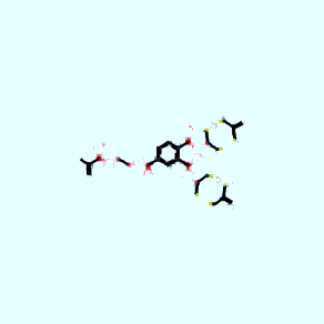 C=C1CSCC(OC(=O)c2ccc(C(=O)OCCOC(=O)C(=C)C)cc2C(=O)OC2CSCC(=C)CSC2)CSC1